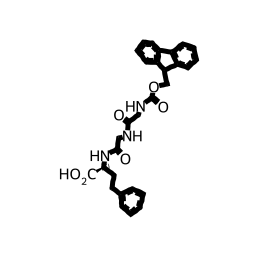 O=C(CNC(=O)OCC1c2ccccc2-c2ccccc21)NCC(=O)N[C@@H](CCc1ccccc1)C(=O)O